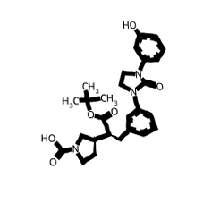 CC(C)(C)OC(=O)[C@@H](Cc1cccc(N2CCN(c3cccc(O)c3)C2=O)c1)[C@H]1CCN(C(=O)O)C1